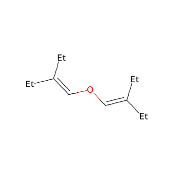 CCC(=COC=C(CC)CC)CC